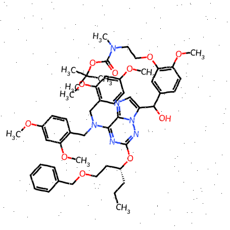 CCC[C@H](CCOCc1ccccc1)Oc1nc(N(Cc2ccc(OC)cc2OC)Cc2ccc(OC)cc2OC)c2ncc(C(O)c3ccc(OC)c(OCCN(C)C(=O)OC(C)(C)C)c3)n2n1